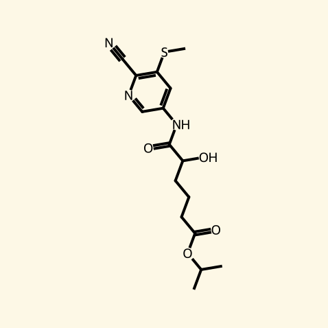 CSc1cc(NC(=O)C(O)CCCC(=O)OC(C)C)cnc1C#N